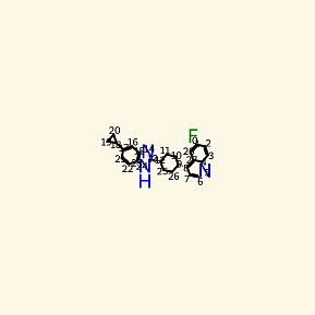 Fc1ccc2nccc([C@H]3CC[C@H](c4nc5cc(C6CC6)ccc5[nH]4)CC3)c2c1